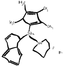 CC1=C(C)C(C)[C]([Zr+2]([CH]2C=Cc3ccccc32)[SiH]2CCCC2)=C1C.[F-].[F-]